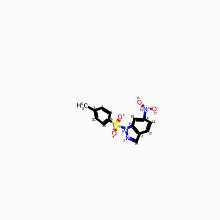 Cc1ccc(S(=O)(=O)n2ncc3ccc([N+](=O)[O-])cc32)cc1